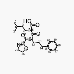 CC(C)CCN(C(=O)O)C(=O)N(CCCc1ccccc1)C(=O)C1=NCCO1